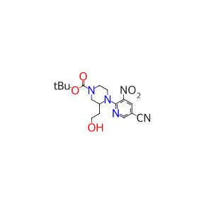 CC(C)(C)OC(=O)N1CCN(c2ncc(C#N)cc2[N+](=O)[O-])C(CCO)C1